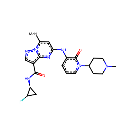 CNc1cc(Nc2cccn(C3CCN(C)CC3)c2=O)nc2c(C(=O)N[C@H]3C[C@H]3F)cnn12